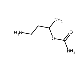 NCCC(N)OC(N)=O